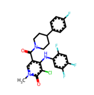 Cn1cc(C(=O)N2CCC(c3ccc(F)cc3)CC2)c(Nc2cc(F)c(F)cc2F)c(Cl)c1=O